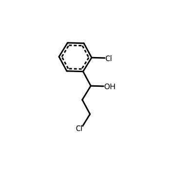 OC(CCCl)c1ccccc1Cl